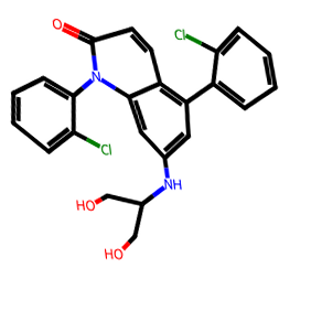 O=c1ccc2c(-c3ccccc3Cl)cc(NC(CO)CO)cc2n1-c1ccccc1Cl